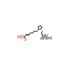 CCCCCC(CC[C@H]1CCC[C@@H]1CCCCC=CC(O)=S)C(C)=O